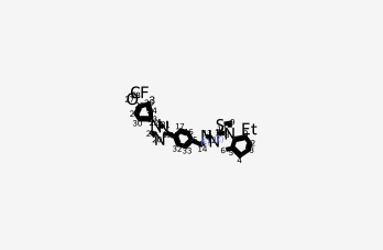 CCc1cccc(C)c1N1CS/C1=N\N=C\c1ccc(-c2ncn(-c3ccc(OC(F)(F)F)cc3)n2)cc1